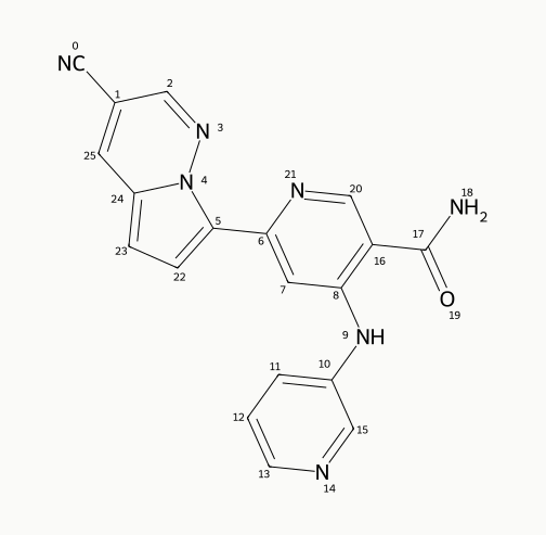 N#Cc1cnn2c(-c3cc(Nc4cccnc4)c(C(N)=O)cn3)ccc2c1